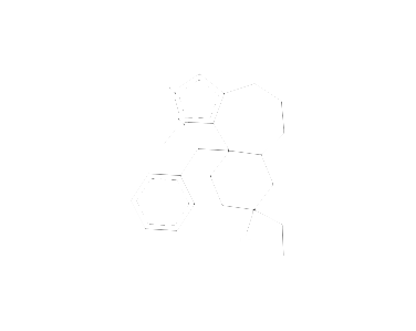 CCC1(O)CCC2(Cc3ccccc3)c3c(cnn3C)CCCC2C1